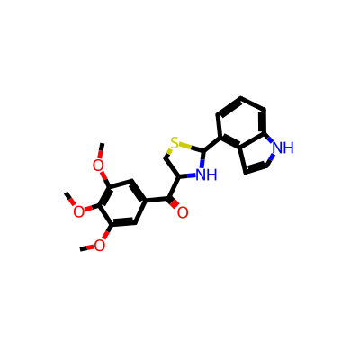 COc1cc(C(=O)C2CSC(c3cccc4[nH]ccc34)N2)cc(OC)c1OC